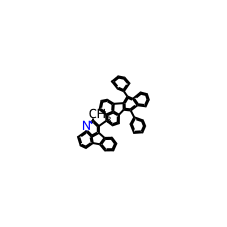 Cc1nc2cccc3c2c(c1-c1ccc2c4c(cccc14)-c1c-2c(-c2ccccc2)c2ccccc2c1-c1ccccc1)-c1ccccc1-3